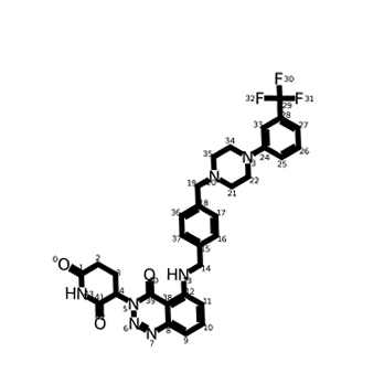 O=C1CCC(n2nnc3cccc(NCc4ccc(CN5CCN(c6cccc(C(F)(F)F)c6)CC5)cc4)c3c2=O)C(=O)N1